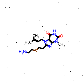 CC(C)=CCn1c(CCSCCN)nc2c1c(=O)[nH]c(=O)n2C